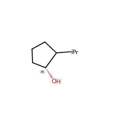 CC(C)C1CCC[C@H]1O